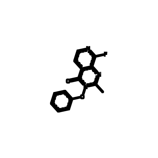 Cc1nc2c(F)nccc2c(=O)n1Oc1ccccc1